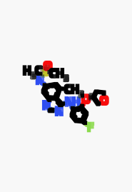 Cc1cc(N=S(C)(C)=O)cc2ncnc(Nc3ccc(F)cc3O[C@@H]3CCOC3)c12